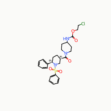 O=C(NC1CCN(C(=O)[C@@H]2CC[C@H](c3ccccc3)N(S(=O)(=O)c3ccccc3)C2)CC1)OCCCl